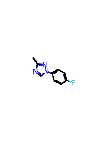 Cc1ncn(-c2ccc(F)cc2)n1